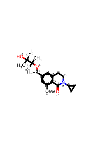 COc1cc(BOC(C)(C)C(C)(C)O)cc2c1C(=O)N(C1CC1)CC2